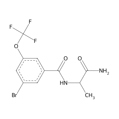 CC(NC(=O)c1cc(Br)cc(OC(F)(F)F)c1)C(N)=O